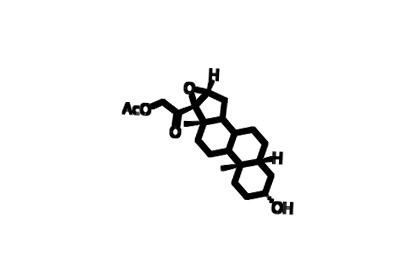 CC(=O)OCC(=O)[C@@]12O[C@@H]1CC1C3CC[C@@H]4C[C@H](O)CC[C@]4(C)C3CC[C@@]12C